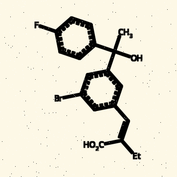 CCC(=Cc1cc(Br)cc(C(C)(O)c2ccc(F)cc2)c1)C(=O)O